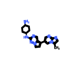 Cc1cnc2ncc(-c3ccn4nc(N[C@H]5CC[C@H](N)CC5)ncc34)cn12